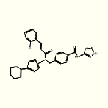 O=C(Nc1nn[nH]n1)c1ccc(CN(C(=O)C=Cc2ccccc2Br)c2ccc(C3CCCCC3)cc2)cc1